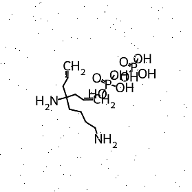 C=CCC(N)(CC=C)CCCCN.O=P(O)(O)O.O=P(O)(O)O